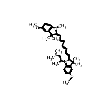 COc1ccc2c(c1)C(C)(C)C(/C=C/C=C/C=C/C=C1/N(C)c3ccc(OC)cc3C1(C)C)=[N+]2C(C)CN(C)C